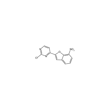 O=[N+]([O-])c1cccc2cc(-c3ccnc(Cl)n3)oc12